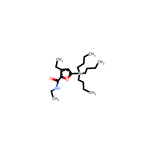 CCC[CH2][Sn]([CH2]CCC)([CH2]CCC)[c]1cc(CC)c(C(=O)NCC)o1